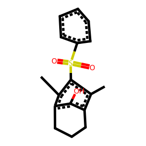 Cc1c2c(O)c(c(C)c1S(=O)(=O)c1ccccc1)CCC2